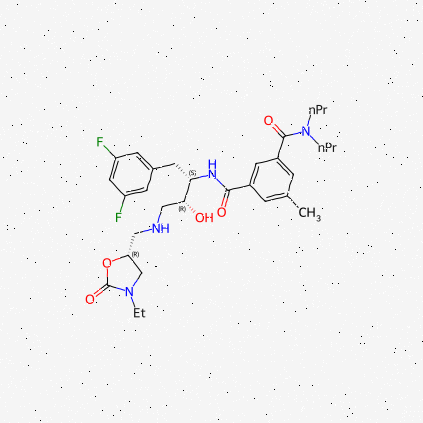 CCCN(CCC)C(=O)c1cc(C)cc(C(=O)N[C@@H](Cc2cc(F)cc(F)c2)[C@H](O)CNC[C@@H]2CN(CC)C(=O)O2)c1